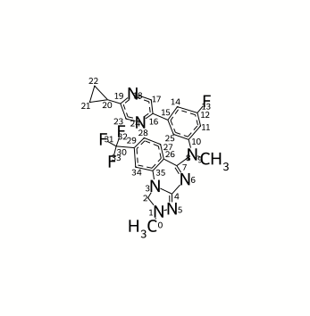 CN1CN2C(=N1)N=C(N(C)c1cc(F)cc(-c3cnc(C4CC4)cn3)c1)c1ccc(C(F)(F)F)cc12